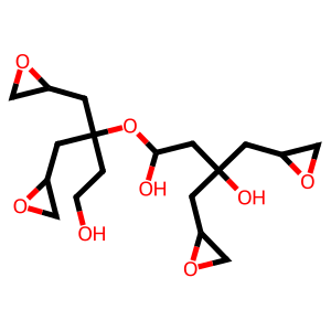 OCCC(CC1CO1)(CC1CO1)OC(O)CC(O)(CC1CO1)CC1CO1